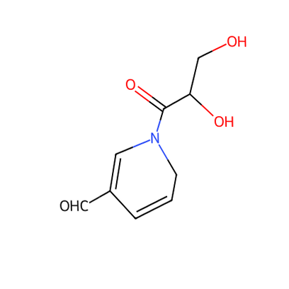 O=CC1=CN(C(=O)C(O)CO)CC=C1